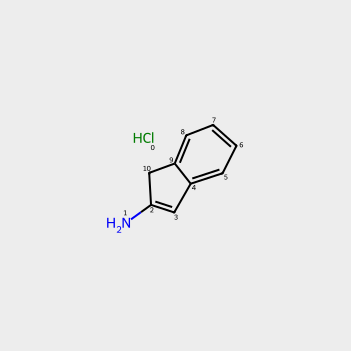 Cl.NC1=Cc2ccccc2C1